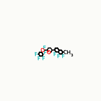 Cc1cc2ccc(C3CCC(C(F)(F)Oc4cc(F)c(F)c(F)c4)OC3)c(F)c2c(F)c1F